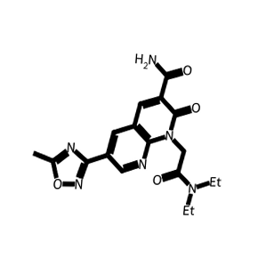 CCN(CC)C(=O)Cn1c(=O)c(C(N)=O)cc2cc(-c3noc(C)n3)cnc21